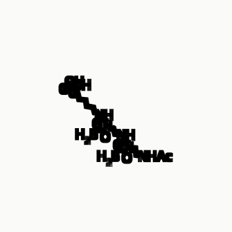 BCC(=O)N(CCNC(C)=O)CC(=O)NCCN(CC(=O)NCCCCCCOP(=O)(O)O)C(=O)CB